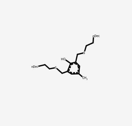 CCCCCCCCCCCCSCc1cc(C)cc(CSCCCCCCCCCCCC)c1O